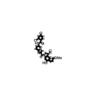 COc1ccc2c(O)cc3c(c2c1)[C@H](CCl)CN3C(=O)c1cn2cc(NC(=O)c3ccc(Cl)cc3Cl)ccc2n1